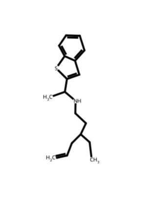 C=CCC(CC)CCNC(C)c1cc2ccccc2s1